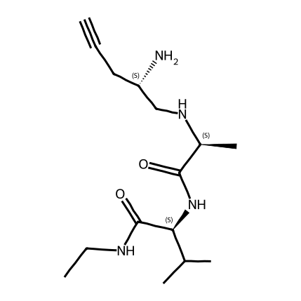 C#CC[C@H](N)CN[C@@H](C)C(=O)N[C@H](C(=O)NCC)C(C)C